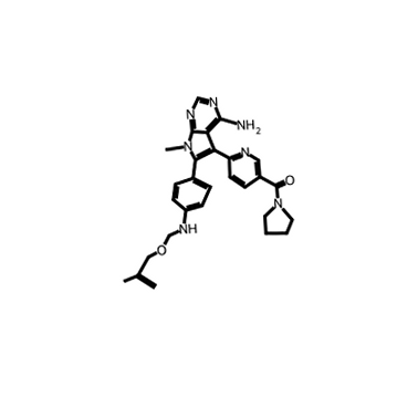 C=C(C)COCNc1ccc(-c2c(-c3ccc(C(=O)N4CCCC4)cn3)c3c(N)ncnc3n2C)cc1